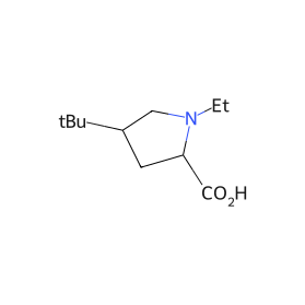 CCN1CC(C(C)(C)C)CC1C(=O)O